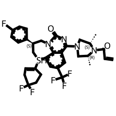 C=CC(=O)N1[C@H](C)CN(c2nc(=O)n3c4c(cc(C(F)(F)F)cc24)[SH](C2=CCC(F)(F)CC2)C[C@@H](c2ccc(F)cc2)C3)C[C@@H]1C